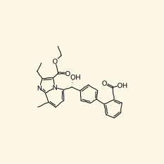 CCOC(=O)c1c(CC)nc2c(C)ccc([C@H](O)c3ccc(-c4ccccc4C(=O)O)cc3)n12